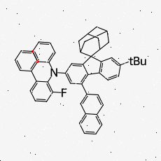 CC(C)(C)c1ccc2c(c1)C1(c3cc(N(c4ccccc4)c4c(F)cccc4-c4ccccc4)cc(-c4ccc5ccccc5c4)c3-2)C2CC3CC(C2)CC1C3